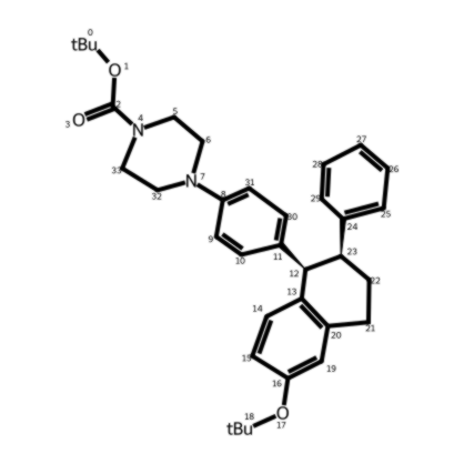 CC(C)(C)OC(=O)N1CCN(c2ccc([C@@H]3c4ccc(OC(C)(C)C)cc4CC[C@@H]3c3ccccc3)cc2)CC1